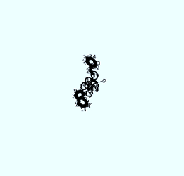 C[C@H](/N=[P+](\[O-])Oc1c(Cl)ccc2ccccc12)C(=O)OCc1ccccc1